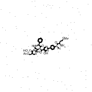 CSCCC(N)C(=O)N(C(C)=O)c1ccc(-c2ncc(C(=O)N(C(=O)C(N)c3ccccc3)C3C(=O)N4C(C(=O)O)=C(COC(C)=O)CS[C@@H]34)c(O)n2)cc1